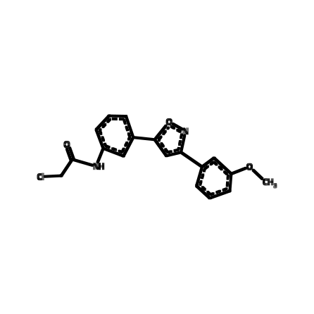 COc1cccc(-c2cc(-c3cccc(NC(=O)CCl)c3)on2)c1